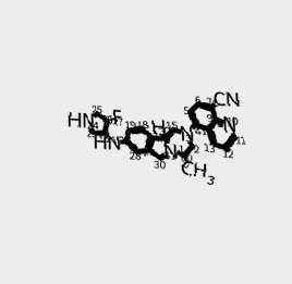 C[C@@H]1CN(c2ccc(C#N)c3ncccc23)C[C@@H]2c3ccc(N[C@H]4CNC[C@@H]4F)cc3CN12